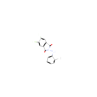 Cc1ccccc1NN1C(=O)c2cc(F)c(F)cc2C1=O